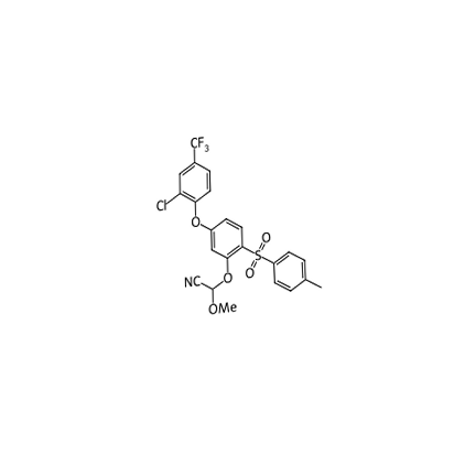 COC(C#N)Oc1cc(Oc2ccc(C(F)(F)F)cc2Cl)ccc1S(=O)(=O)c1ccc(C)cc1